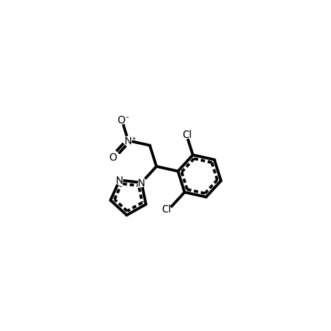 O=[N+]([O-])CC(c1c(Cl)cccc1Cl)n1cccn1